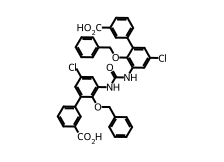 O=C(Nc1cc(Cl)cc(-c2cccc(C(=O)O)c2)c1OCc1ccccc1)Nc1cc(Cl)cc(-c2cccc(C(=O)O)c2)c1OCc1ccccc1